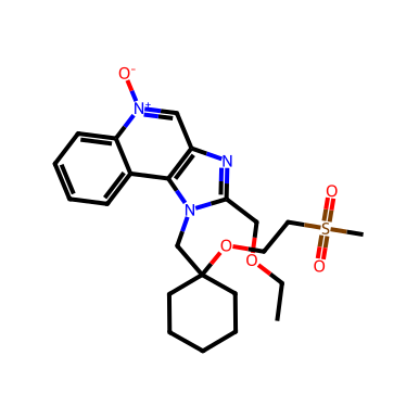 CCOCc1nc2c[n+]([O-])c3ccccc3c2n1CC1(OCCS(C)(=O)=O)CCCCC1